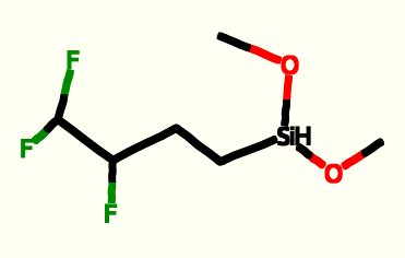 CO[SiH](CCC(F)C(F)F)OC